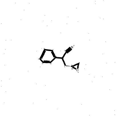 N#CC(C[C@@H]1CO1)c1ccccc1